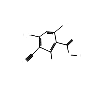 C#Cc1c(N)cc(C)c(C(=O)OC)c1Cl